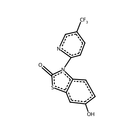 O=c1sc2cc(O)ccc2n1-c1ccc(C(F)(F)F)cn1